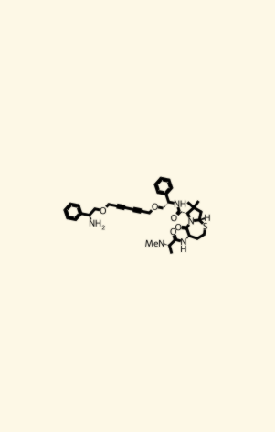 CN[C@@H](C)C(=O)N[C@H]1CCS[C@H]2CC(C)(C)[C@@H](C(=O)N[C@H](COCC#CC#CCOC[C@@H](N)c3ccccc3)c3ccccc3)N2C1=O